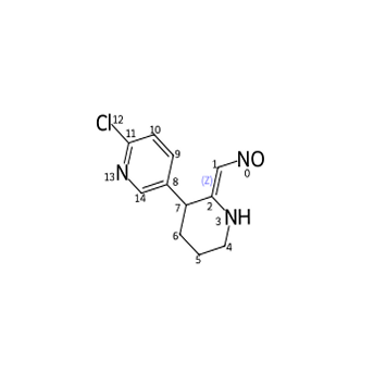 O=N/C=C1\NCCCC1c1ccc(Cl)nc1